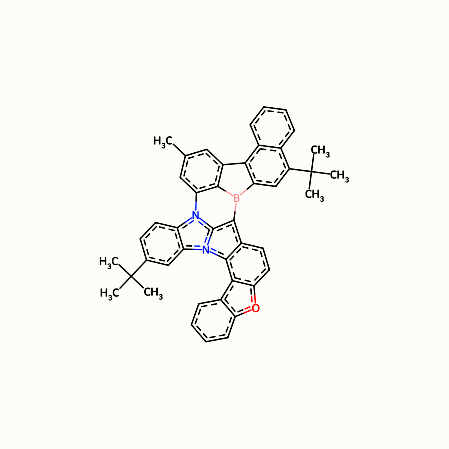 Cc1cc2c3c(c1)-n1c4ccc(C(C)(C)C)cc4n4c5c(ccc6oc7ccccc7c65)c(c14)B3c1cc(C(C)(C)C)c3ccccc3c1-2